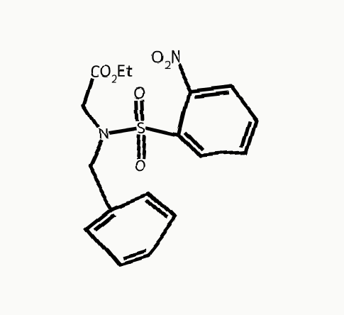 CCOC(=O)CN(Cc1ccccc1)S(=O)(=O)c1ccccc1[N+](=O)[O-]